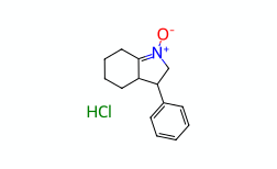 Cl.[O-][N+]1=C2CCCCC2C(c2ccccc2)C1